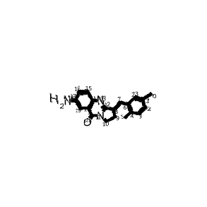 Cc1ccc(C)c(C=C2CCn3c2nc2ccc(N)cc2c3=O)c1